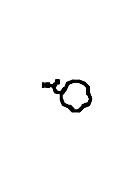 O=C(O)C/C1=C\CCCC/C=C/C/C=C/C/C=C/CC1